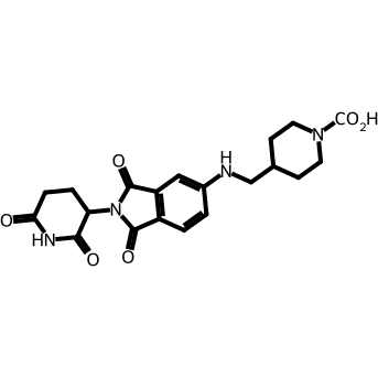 O=C1CCC(N2C(=O)c3ccc(NCC4CCN(C(=O)O)CC4)cc3C2=O)C(=O)N1